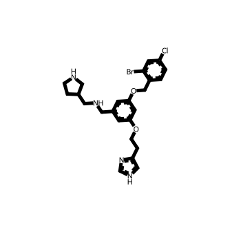 Clc1ccc(COc2cc(CNCC3CCNC3)cc(OCCc3c[nH]cn3)c2)c(Br)c1